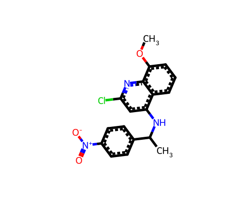 COc1cccc2c(NC(C)c3ccc([N+](=O)[O-])cc3)cc(Cl)nc12